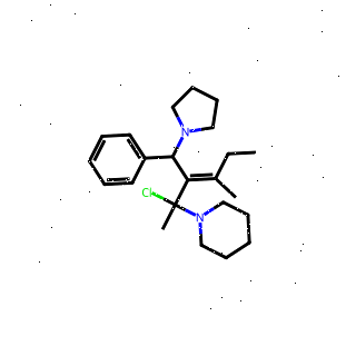 CCC(C)=C(C(c1ccccc1)N1CCCC1)C(C)(Cl)N1CCCCC1